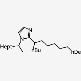 CCCCCCCCCCCCCCCC(CCCC)c1nccn1C(C)CCCCCCC